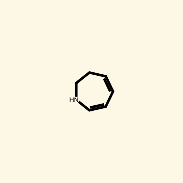 C1=CCCNC=C1